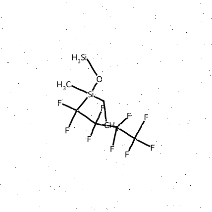 CC[Si](C)(O[SiH3])C(F)(F)C(F)(F)C(F)(F)C(F)(F)F